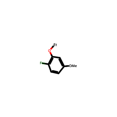 CCOc1cc(OC)c[c]c1F